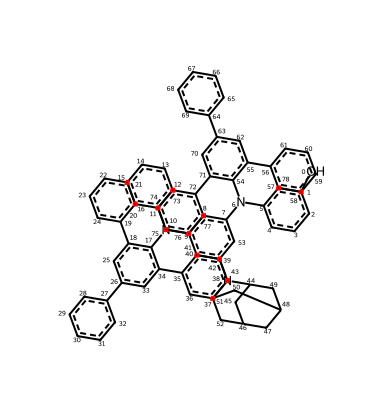 Oc1cccc(N(c2cc(N(c3ccccc3)c3c(-c4ccccc4)cc(-c4ccccc4)cc3-c3ccccc3)cc(N3C4CC5CC(C4)CC3C5)c2)c2c(-c3ccccc3)cc(-c3ccccc3)cc2-c2ccccc2)c1